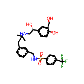 CC(C)(Cc1cccc(CNS(=O)(=O)c2ccc(C(F)(F)F)cc2)c1)NC[C@H](O)c1ccc(O)c(CO)c1